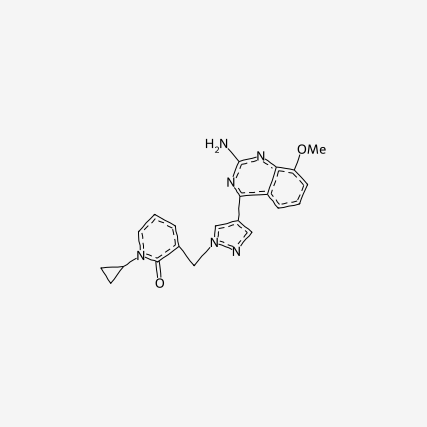 COc1cccc2c(-c3cnn(Cc4cccn(C5CC5)c4=O)c3)nc(N)nc12